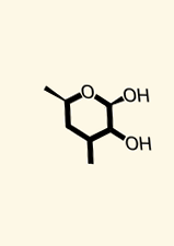 CC1C[C@@H](C)O[C@@H](O)C1O